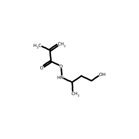 C=C(C)C(=O)ONC(C)CCO